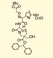 CC(C)(C)OC(=O)CON=C(C(=O)NC1C(=O)N2CC(CO)(C(=O)OC(c3ccccc3)c3ccccc3)CS[C@H]12)c1csc(NC=O)n1